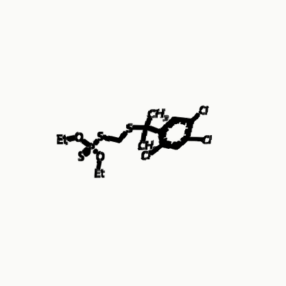 CCOP(=S)(OCC)SCSC(C)(C)c1cc(Cl)c(Cl)cc1Cl